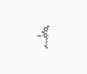 Br.CCN(C)C/C=C/COc1ccc(C(=O)c2ccc(Br)cc2)cc1